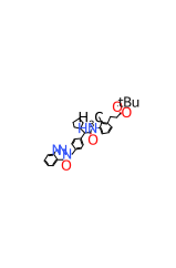 Cc1c(CCC(=O)OC(C)(C)C)cccc1NC(=O)C(c1ccc(Cn2nnc3ccccc3c2=O)cc1)C1CCCC1